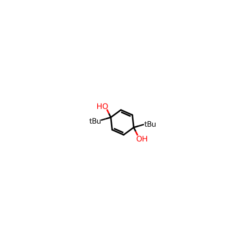 CC(C)(C)C1(O)C=CC(O)(C(C)(C)C)C=C1